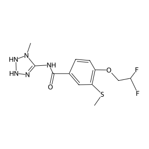 CSc1cc(C(=O)NC2=NNNN2C)ccc1OCC(F)F